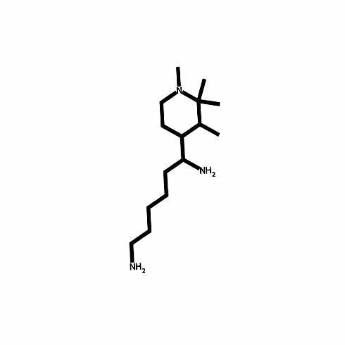 CC1C(C(N)CCCCCN)CCN(C)C1(C)C